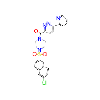 O=C(c1ccc(-c2ccccn2)nn1)N1CCN(S(=O)(=O)c2ccc3cc(Cl)ccc3c2)CC1